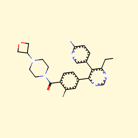 CCc1ncnc(-c2ccc(C(=O)N3CCN(C4COC4)CC3)c(Cl)c2)c1-c1ccc(N)nc1